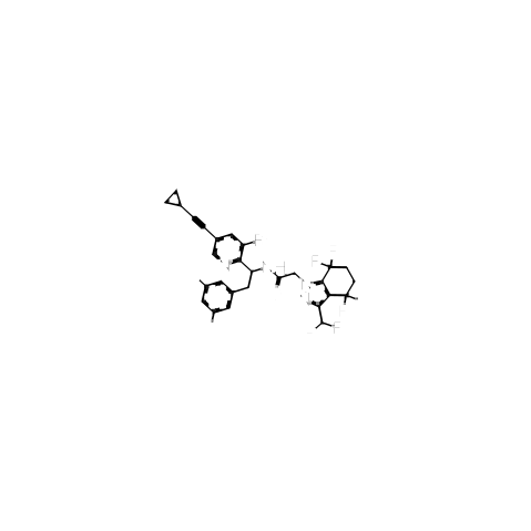 O=C(Cn1nc(C(F)F)c2c1C(F)(F)CCC2(F)F)NC(Cc1cc(F)cc(F)c1)c1ncc(C#CC2CC2)cc1Br